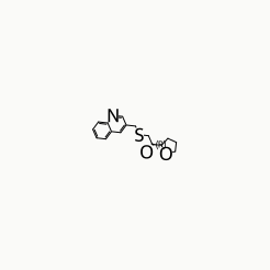 O=C(CSCc1cnc2ccccc2c1)[C@H]1CCCO1